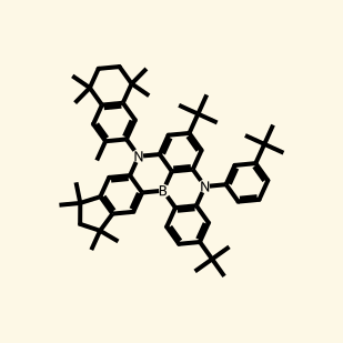 Cc1cc2c(cc1N1c3cc4c(cc3B3c5ccc(C(C)(C)C)cc5N(c5cccc(C(C)(C)C)c5)c5cc(C(C)(C)C)cc1c53)C(C)(C)CC4(C)C)C(C)(C)CCC2(C)C